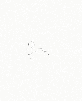 CC(=O)CCN1CCC(=C2c3ccccc3CCc3sccc32)CC1